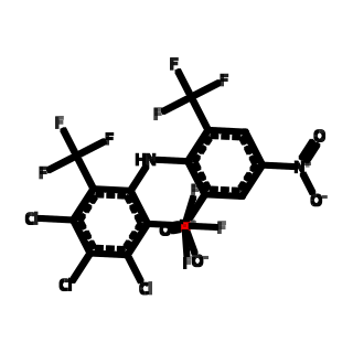 O=[N+]([O-])c1cc([N+](=O)[O-])c(Nc2c(C(F)(F)F)c(Cl)c(Cl)c(Cl)c2C(F)(F)F)c(C(F)(F)F)c1